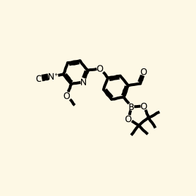 [C-]#[N+]c1ccc(Oc2ccc(B3OC(C)(C)C(C)(C)O3)c(C=O)c2)nc1OC